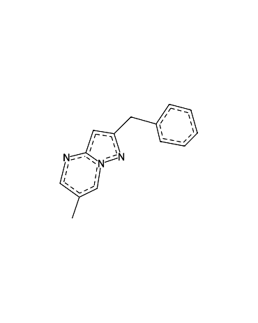 Cc1cnc2cc(Cc3ccccc3)nn2c1